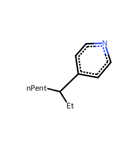 CCCCCC(CC)c1ccncc1